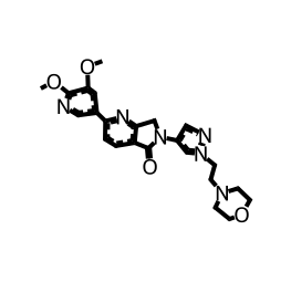 COc1cc(-c2ccc3c(n2)CN(c2cnn(CCN4CCOCC4)c2)C3=O)cnc1OC